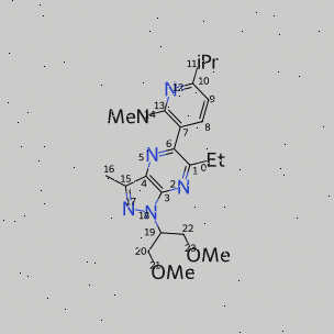 CCc1nc2c(nc1-c1ccc(C(C)C)nc1NC)c(C)nn2C(COC)COC